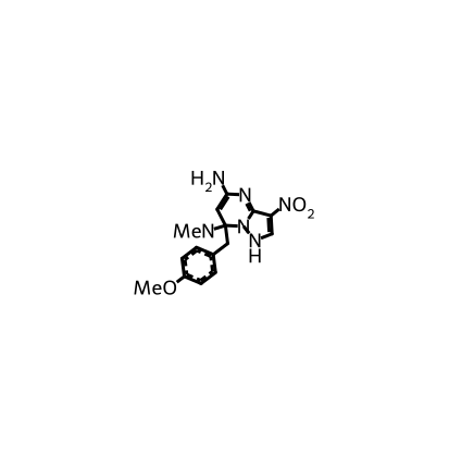 CNC1(Cc2ccc(OC)cc2)C=C(N)N=C2C([N+](=O)[O-])=CNN21